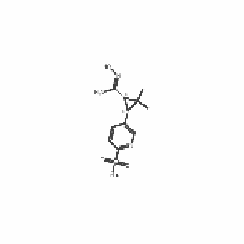 CC1(C)[C@@H](C(N)=NO)[C@@H]1c1ccc(S(N)(=O)=O)nc1